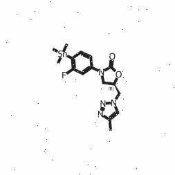 Cc1cn(C[C@H]2CN(c3cc[c]([Sn]([CH3])([CH3])[CH3])c(F)c3)C(=O)O2)nn1